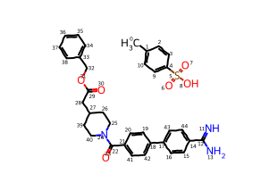 Cc1ccc(S(=O)(=O)O)cc1.N=C(N)c1ccc(-c2ccc(C(=O)N3CCC(CC(=O)OCc4ccccc4)CC3)cc2)cc1